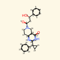 O=C(C[C@@H](O)c1ccccc1)N1CCc2nc(C3(c4ccccc4)CC3)[nH]c(=O)c2C1